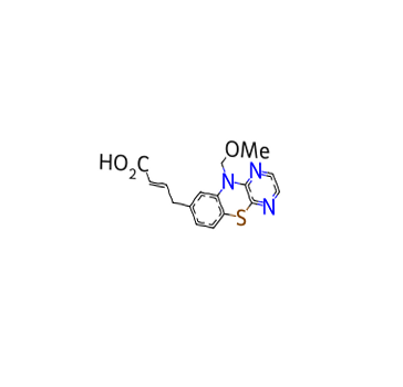 COCN1c2cc(CC=CC(=O)O)ccc2Sc2nccnc21